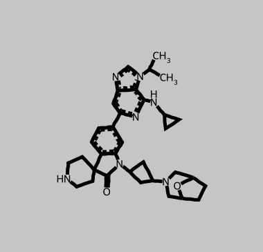 CC(C)n1cnc2cc(-c3ccc4c(c3)N(C3CC(N5CC6CCC(C5)O6)C3)C(=O)C43CCNCC3)nc(NC3CC3)c21